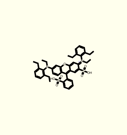 CCc1cccc(CC)c1N(CC)c1ccc2c(-c3ccccc3S(=O)(=O)O)c3cc(S(=O)(=O)O)/c(=[N+](\CC)c4c(CC)cccc4CC)cc-3oc2c1